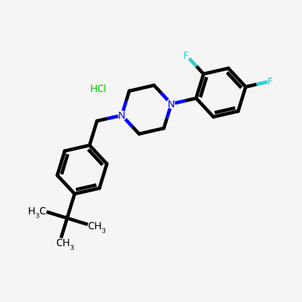 CC(C)(C)c1ccc(CN2CCN(c3ccc(F)cc3F)CC2)cc1.Cl